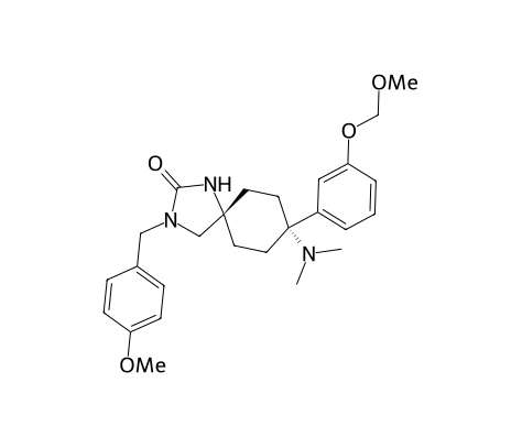 COCOc1cccc([C@]2(N(C)C)CC[C@@]3(CC2)CN(Cc2ccc(OC)cc2)C(=O)N3)c1